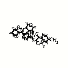 Cc1cnc(C(C)C(C)SNc2nnc(-c3noc4ccccc34)n2C2CCOCC2)nc1